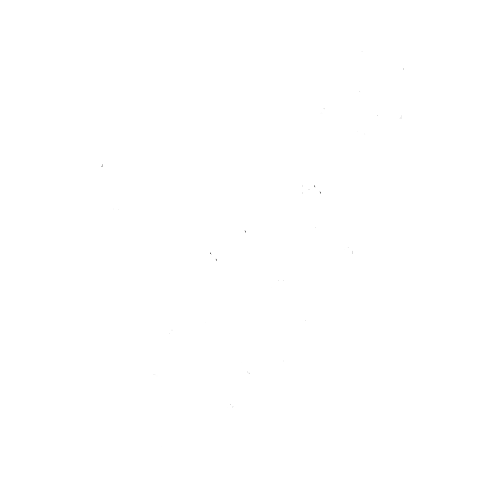 Cc1ccc(Cn2nc(C(=O)NCC3CCC4CC3C4(C)C)c3c2-c2ccc(Cl)cc2CC3)cc1